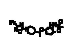 CC(C)c1noc(N2CCC(C(C)Oc3cc[c]c(NS(C)(=O)=O)c3)CC2)n1